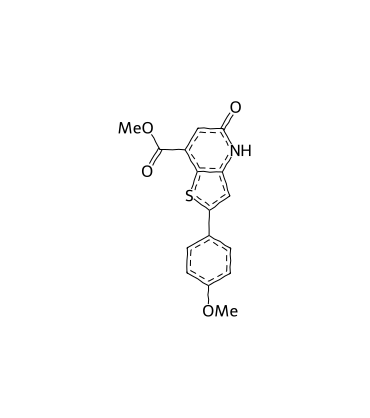 COC(=O)c1cc(=O)[nH]c2cc(-c3ccc(OC)cc3)sc12